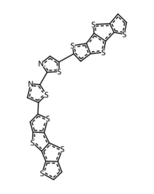 c1cc2sc3c4sc(-c5cnc(-c6ncc(-c7cc8sc9c%10sccc%10sc9c8s7)s6)s5)cc4sc3c2s1